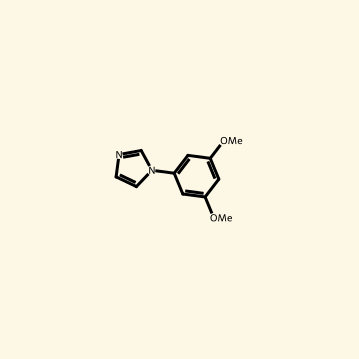 COc1cc(OC)cc(-n2ccnc2)c1